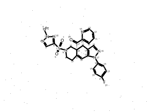 CCCn1ncc(S(=O)(=O)N2CCC3=Cc4c(cnn4-c4ccc(F)cc4)C[C@]3(C(=O)c3ccccn3)C2)n1